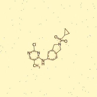 Cc1cnc(Cl)nc1Nc1ccc2c(c1)CN(S(=O)(=O)C1CC1)C2